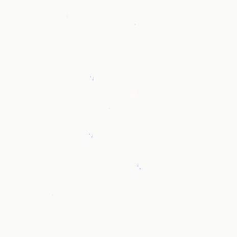 Cc1cccc(N(c2ccc3c(c2)N(c2ccc(C(C)(C)C)cc2)c2cc(C)cc4c2B3c2oc3cc5c(cc3c2N4c2ccc(C(C)(C)C)cc2)C(C)(C)CCC5(C)C)c2ccccc2C)c1